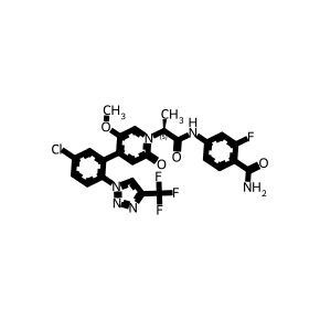 COc1cn([C@@H](C)C(=O)Nc2ccc(C(N)=O)c(F)c2)c(=O)cc1-c1cc(Cl)ccc1-n1cc(C(F)(F)F)nn1